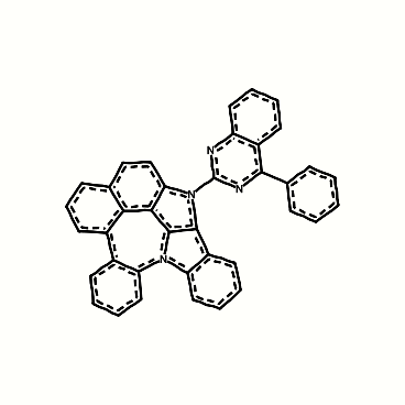 c1ccc(-c2nc(-n3c4ccc5cccc6c7ccccc7n7c8ccccc8c3c7c4c56)nc3ccccc23)cc1